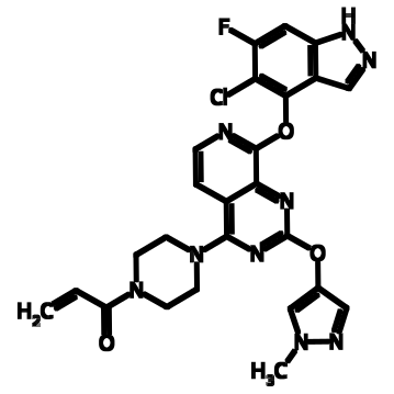 C=CC(=O)N1CCN(c2nc(Oc3cnn(C)c3)nc3c(Oc4c(Cl)c(F)cc5[nH]ncc45)nccc23)CC1